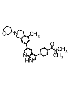 Cc1cc(-c2cnc3[nH]cc(-c4ccc(C(=O)N(C)C)cc4)c3c2)cc2c1CCN(C1CCCOC1)C2